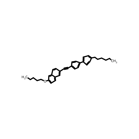 CCCCCCc1ccc(-c2ccc(C#Cc3ccc4cc(OCCCCC)ccc4c3)cc2)cc1